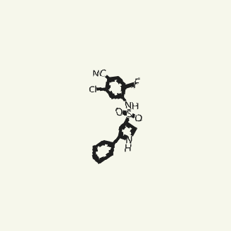 N#Cc1cc(F)c(NS(=O)(=O)c2c[nH]c(-c3ccccc3)c2)cc1Cl